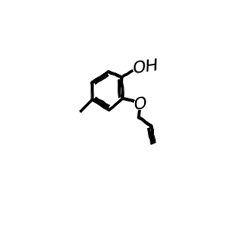 C=CCOc1cc(C)ccc1O